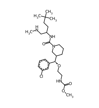 CNCC(CCC(C)(C)C)NC(=O)N1CCCC([C@@H](OCCNC(=O)OC)c2cccc(Cl)c2)C1